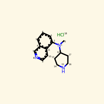 CN(c1cccc2cnccc12)C1CCNCC1.Cl